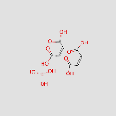 O=C(O)/C=C\C(=O)O.O=C(O)/C=C\C(=O)O.OB(O)O